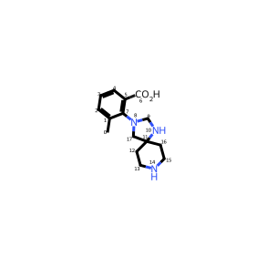 Cc1cccc(C(=O)O)c1N1CNC2(CCNCC2)C1